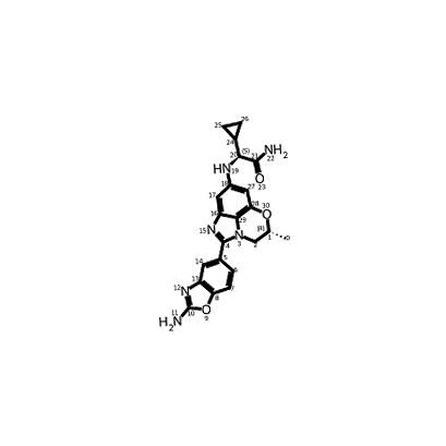 C[C@@H]1Cn2c(-c3ccc4oc(N)nc4c3)nc3cc(N[C@H](C(N)=O)C4CC4)cc(c32)O1